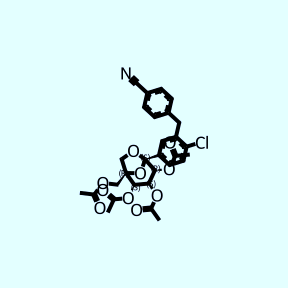 CC(=O)OC[C@@]12CO[C@@](c3ccc(Cl)c(Cc4ccc(C#N)cc4)c3)(O1)[C@H](OC(C)=O)[C@@H](OC(C)=O)[C@@H]2OC(C)=O